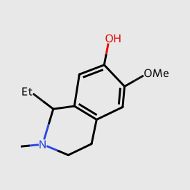 CCC1c2cc(O)c(OC)cc2CCN1C